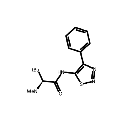 CN[C@H](C(=O)Nc1snnc1-c1ccccc1)C(C)(C)C